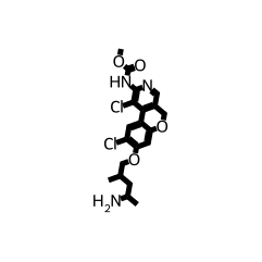 COC(=O)Nc1ncc2c(c1Cl)-c1cc(Cl)c(OCC(C)CC(C)N)cc1OC2